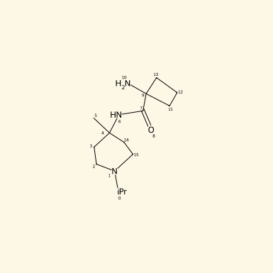 CC(C)N1CCC(C)(NC(=O)C2(N)CCC2)CC1